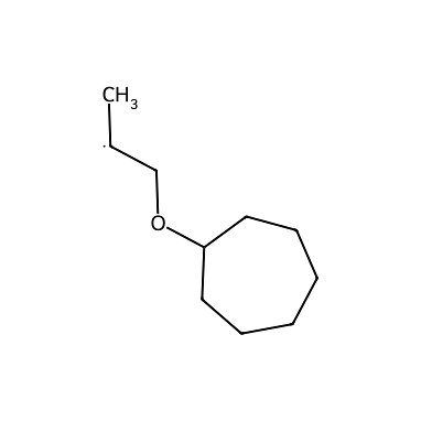 C[CH]COC1CCCCCC1